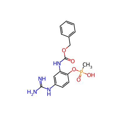 CP(=O)(O)Oc1ccc(NC(=N)N)cc1NC(=O)OCc1ccccc1